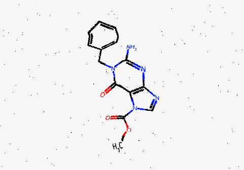 COC(=O)n1cnc2nc(N)n(Cc3ccccc3)c(=O)c21